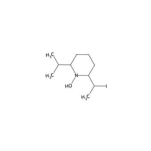 CC(C)C1CCCC(C(C)I)N1O